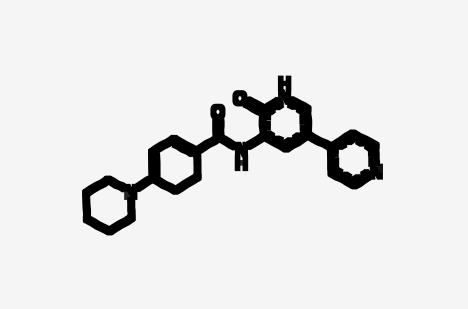 O=C(Nc1cc(-c2ccncc2)c[nH]c1=O)C1=CC=C(N2CCCCC2)CC1